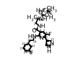 C[C@H](CNC(=O)c1cc(F)c(-c2cn[nH]c2)nc1NCCc1cccc(F)c1)NC(=O)OC(C)(C)C